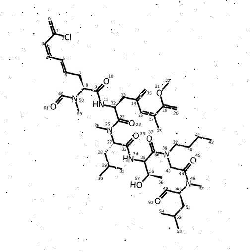 C=C(Cl)/C=C\C=C\C[C@@H](C(=O)N[C@@H](CC(=C)/C=C(/C)C(=C)OC)C(=O)N(C)[C@@H](CC(C)C)C(=O)NC(C(=O)N(CCCC)CC(=O)N(C)[C@H](C=O)CC(C)C)[C@@H](C)O)N(C)C=O